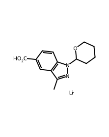 Cc1nn(C2CCCCO2)c2ccc(C(=O)O)cc12.[Li]